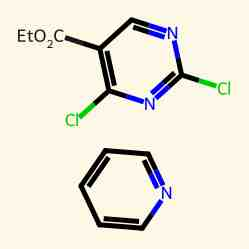 CCOC(=O)c1cnc(Cl)nc1Cl.c1ccncc1